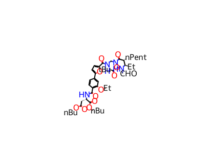 CCCCC[C@@H](C(=O)NCNC(=O)c1ccc(-c2ccc(C(=O)N[C@@H](CC(=O)OCCCC)C(=O)OCCCC)c(OCC)c2)o1)[C@@H](CC)N(C=O)OC(=O)C(C)(C)C